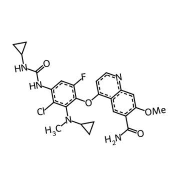 COc1cc2nccc(Oc3c(F)cc(NC(=O)NC4CC4)c(Cl)c3N(C)C3CC3)c2cc1C(N)=O